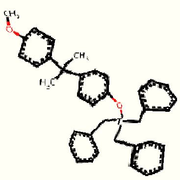 COc1ccc(C(C)(C)c2ccc([O][Ti]([CH2]c3ccccc3)([CH2]c3ccccc3)[CH2]c3ccccc3)cc2)cc1